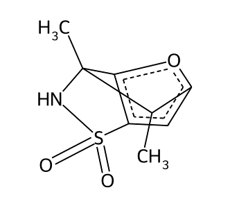 CC1c2cc3c(o2)C1(C)NS3(=O)=O